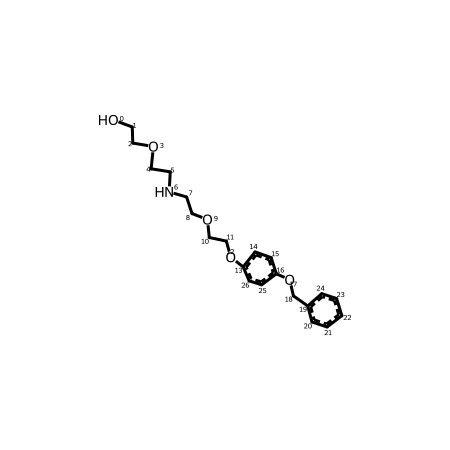 OCCOCCNCCOCCOc1ccc(OCc2ccccc2)cc1